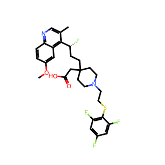 COc1ccc2ncc(C)c([C@H](F)CCC3(CC(=O)O)CCN(CCSc4c(F)cc(F)cc4F)CC3)c2c1